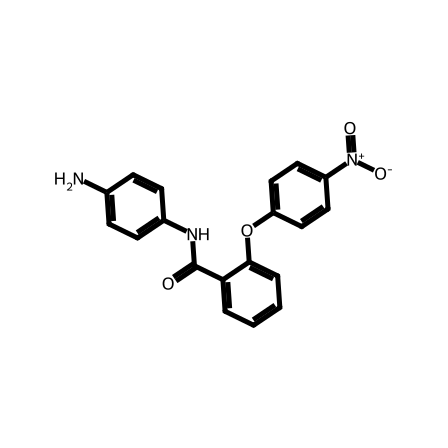 Nc1ccc(NC(=O)c2ccccc2Oc2ccc([N+](=O)[O-])cc2)cc1